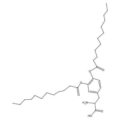 CCCCCCCCCCCC(=O)Oc1ccc(CC(N)C(=O)O)cc1OC(=O)CCCCCCCCCCC